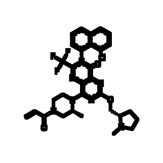 C=CC(=O)N1CCN(c2nc(OC[C@@H]3CCCN3C)nc3c(=O)n(-c4cccc5cccc(Cl)c45)c(C(F)(F)F)nc23)[C@@H](C)C1